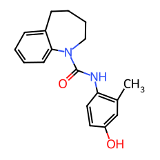 Cc1cc(O)ccc1NC(=O)N1CCCCc2ccccc21